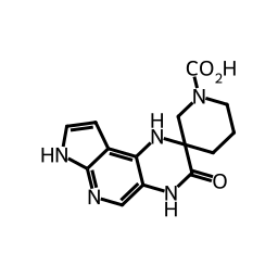 O=C(O)N1CCCC2(C1)Nc1c(cnc3[nH]ccc13)NC2=O